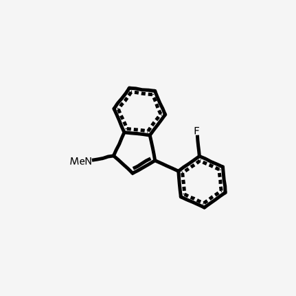 CNC1C=C(c2ccccc2F)c2ccccc21